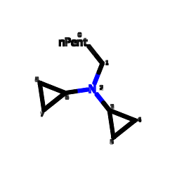 [CH2]CCCCCN(C1CC1)C1CC1